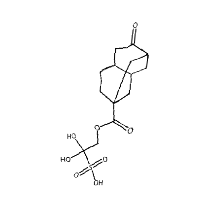 O=C1CC2CCC3(C(=O)OCC(O)(O)S(=O)(=O)O)CC1CC2C3